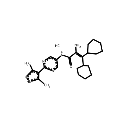 Cc1n[nH]c(C)c1-c1ncc(NC(=O)C(N)=C(C2CCCCC2)C2CCCCC2)cn1.Cl